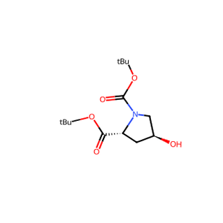 CC(C)(C)OC(=O)[C@H]1C[C@H](O)CN1C(=O)OC(C)(C)C